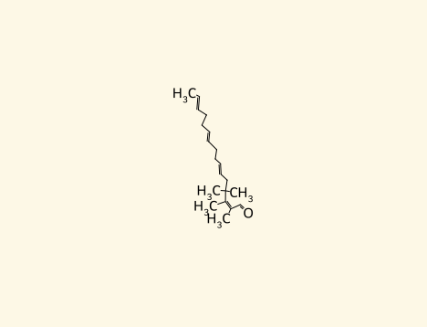 CC=CCCC=CCCC=CCC(C)(C)C(C)=C(C)C=O